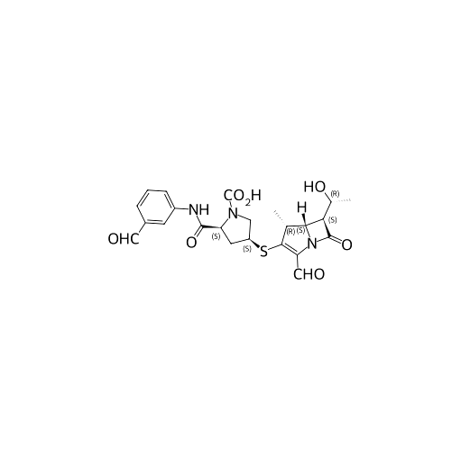 C[C@@H](O)[C@H]1C(=O)N2C(C=O)=C(S[C@H]3C[C@@H](C(=O)Nc4cccc(C=O)c4)N(C(=O)O)C3)[C@H](C)[C@H]12